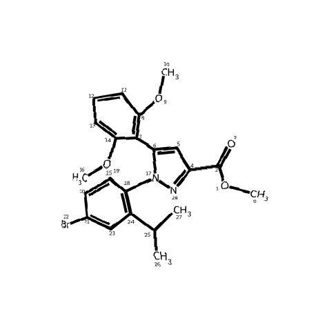 COC(=O)c1cc(-c2c(OC)cccc2OC)n(-c2ccc(Br)cc2C(C)C)n1